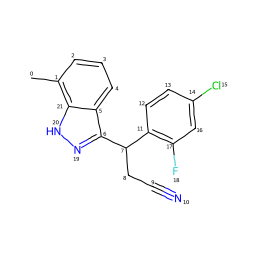 Cc1cccc2c(C(CC#N)c3ccc(Cl)cc3F)n[nH]c12